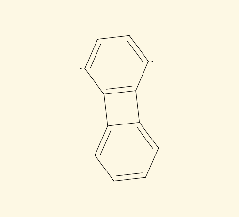 [c]1cc[c]c2c1-c1ccccc1-2